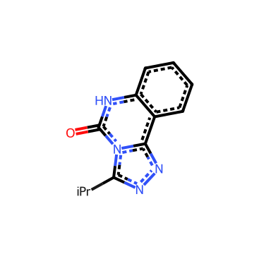 CC(C)c1nnc2c3ccccc3[nH]c(=O)n12